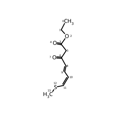 CCOC(=O)CC(=O)/C=C/C=C\SC